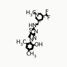 Cc1cc(C)c(-n2cc3sc(NC[C@@H]4C[C@H](C(F)F)CN(C)C4)nc3n2)c(O)c1